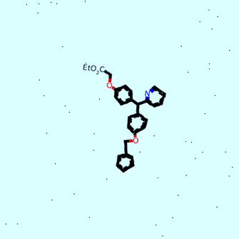 CCOC(=O)COc1ccc(C(c2ccc(OCc3ccccc3)cc2)c2ccccn2)cc1